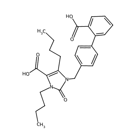 CCCCc1c(C(=O)O)n(CCCC)c(=O)n1Cc1ccc(-c2ccccc2C(=O)O)cc1